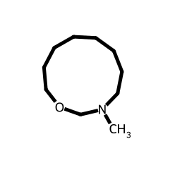 CN1CCCCCCCCOC1